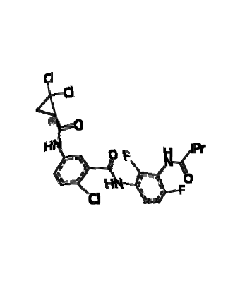 CC(C)C(=O)Nc1c(F)ccc(NC(=O)c2cc(NC(=O)[C@H]3CC3(Cl)Cl)ccc2Cl)c1F